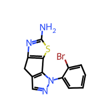 Nc1nc2c(s1)-c1c(cnn1-c1ccccc1Br)C2